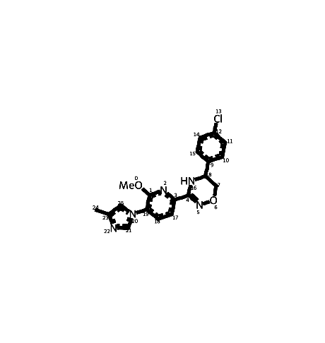 COc1nc(C2=NOCC(c3ccc(Cl)cc3)N2)ccc1-n1cnc(C)c1